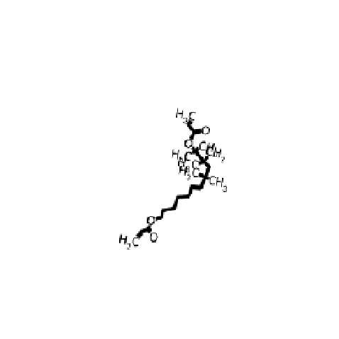 C=CC(=O)OCCCCC/C=C/C(C)(C)CC(C)(C)C(C)(C)OC(=O)C=C